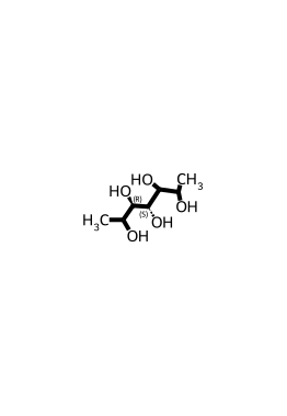 CC(O)C(O)[C@H](O)[C@H](O)C(C)O